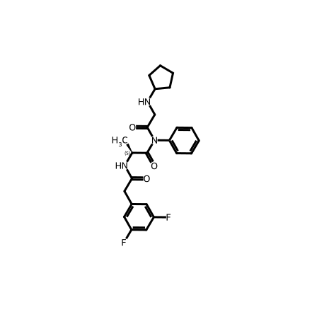 C[C@H](NC(=O)Cc1cc(F)cc(F)c1)C(=O)N(C(=O)CNC1CCCC1)c1ccccc1